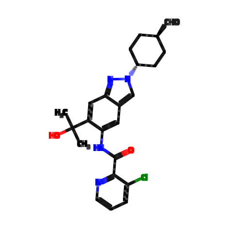 CC(C)(O)c1cc2nn([C@H]3CC[C@H](C=O)CC3)cc2cc1NC(=O)c1ncccc1Cl